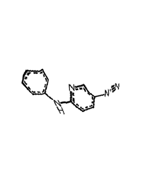 N#[N+]c1ccc(Nc2ccccc2)nc1